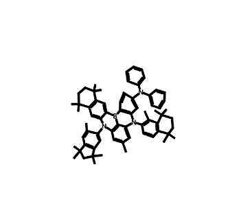 Cc1cc2c3c(c1)N(c1ccc4c(c1C)C(C)(C)CCC4(C)C)c1cc(N(c4ccccc4)c4ccccc4)ccc1B3c1cc3c(cc1N2c1cc2c(cc1C)C(C)(C)CC2(C)C)C(C)(C)CCC3(C)C